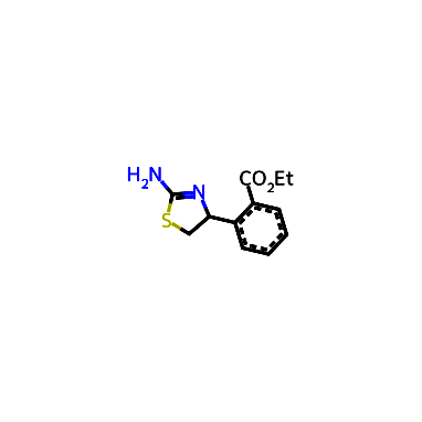 CCOC(=O)c1ccccc1C1CSC(N)=N1